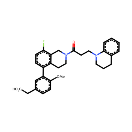 COc1ccc(CC(=O)O)cc1-c1ccc(F)c2c1CCN(C(=O)CCN1CCCc3ccccc31)C2